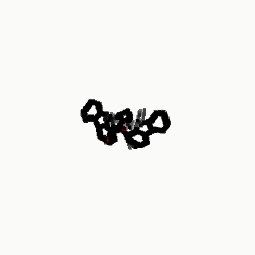 N#CC1=C(C#N)N=C2CC(=N1)C2=C(c1cccc2c1[nH]c1ccccc12)c1cccc2c1[nH]c1ccccc12